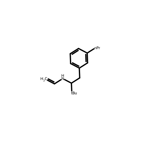 C=CNC(Cc1cccc(CCC)c1)C(C)(C)C